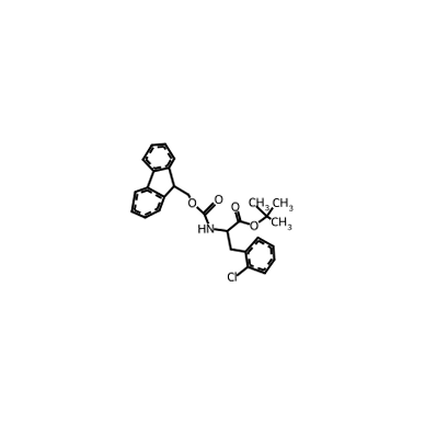 CC(C)(C)OC(=O)C(Cc1ccccc1Cl)NC(=O)OCC1c2ccccc2-c2ccccc21